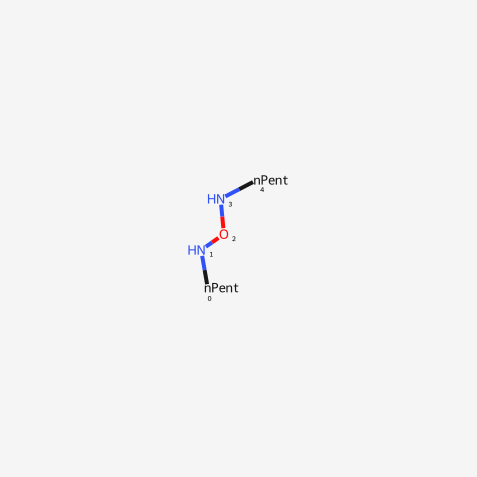 CCCCCNONCCCCC